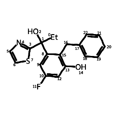 CCC(O)(c1nccs1)c1cc(F)cc(O)c1Cc1ccccc1